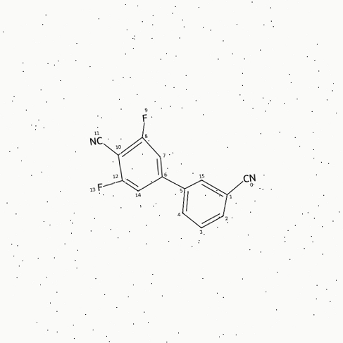 N#Cc1cccc(-c2cc(F)c(C#N)c(F)c2)c1